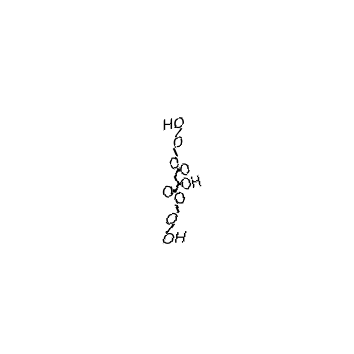 O=C(CC(O)C(=O)OCCOCCO)OCCOCCO